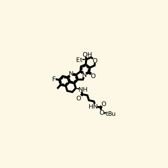 CC[C@@]1(O)COCc2c1cc1n(c2=O)Cc2c-1nc1cc(F)c(C)c3c1c2[C@@H](NC(=O)CCCNC(=O)OC(C)(C)C)CC3